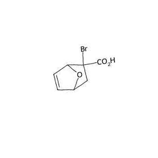 O=C(O)C1(Br)CC2C=CC1O2